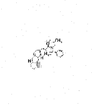 CC(C)CN(C(=O)c1ccc2c(c1)CCN1C[C@@H]3CCCN[C@@H]3C[C@H]21)[C@H](C)c1ccccc1